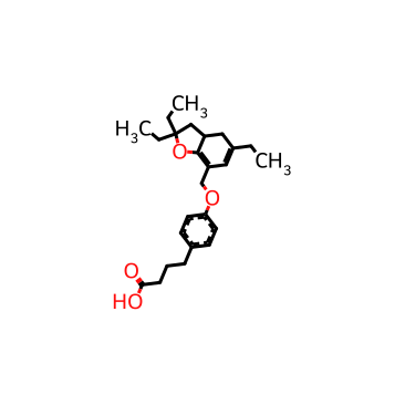 CCC1=CC(COc2ccc(CCCC(=O)O)cc2)=C2OC(CC)(CC)CC2C1